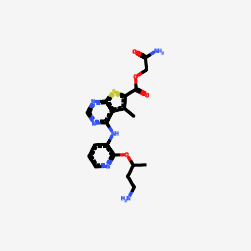 Cc1c(C(=O)OCC(N)=O)sc2ncnc(Nc3cccnc3OC(C)CCN)c12